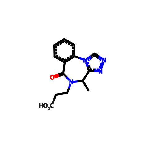 CC1c2nncn2-c2ccccc2C(=O)N1CCC(=O)O